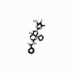 Cc1nc(N2C[C@H]3CSC(NC(=O)c4ccccc4)=N[C@@]3(C3CCCC3)C2)nc(O)c1F